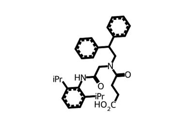 CC(C)c1cccc(C(C)C)c1NC(=O)CN(CC(c1ccccc1)c1ccccc1)C(=O)CCC(=O)O